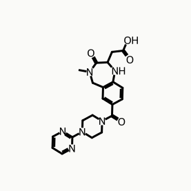 CN1Cc2cc(C(=O)N3CCN(c4ncccn4)CC3)ccc2NC(CC(=O)O)C1=O